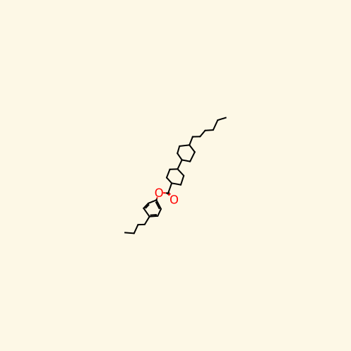 CCCCCCC1CCC(C2CCC(C(=O)Oc3ccc(CCCC)cc3)CC2)CC1